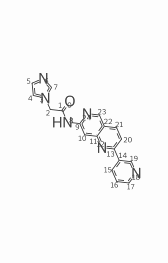 O=C(Cn1ccnc1)Nc1cc2nc(-c3cccnc3)ccc2cn1